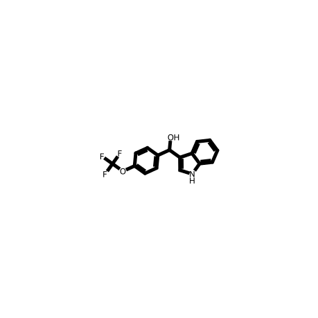 OC(c1ccc(OC(F)(F)F)cc1)c1c[nH]c2ccccc12